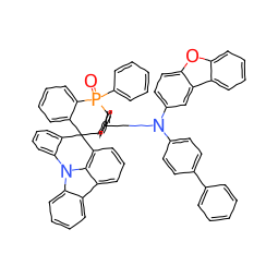 O=P1(c2ccccc2)c2ccccc2C2(c3ccccc3-n3c4ccccc4c4cccc2c43)c2ccc(N(c3ccc(-c4ccccc4)cc3)c3ccc4oc5ccccc5c4c3)cc21